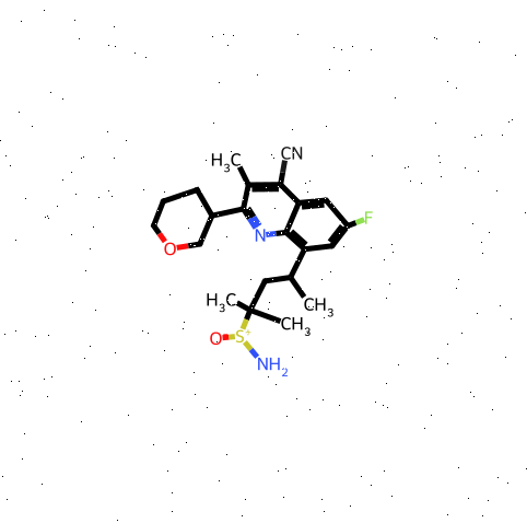 Cc1c(C2CCCOC2)nc2c(C(C)CC(C)(C)[S+](N)[O-])cc(F)cc2c1C#N